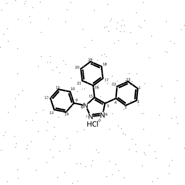 Cl.c1ccc(-c2nnn(-c3ccccc3)c2-c2ccccc2)cc1